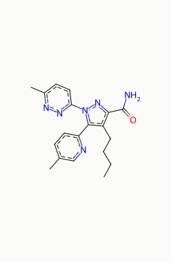 CCCCc1c(C(N)=O)nn(-c2ccc(C)nn2)c1-c1ccc(C)cn1